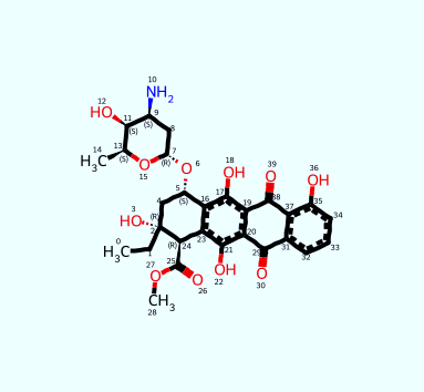 CC[C@@]1(O)C[C@H](O[C@H]2C[C@H](N)[C@H](O)[C@H](C)O2)c2c(O)c3c(c(O)c2[C@H]1C(=O)OC)C(=O)c1cccc(O)c1C3=O